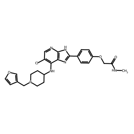 CNC(=O)COc1ccc(-c2nc3c(NC4CCN(Cc5ccoc5)CC4)c(Cl)cnc3[nH]2)cc1